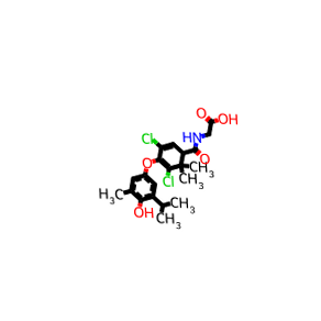 Cc1cc(OC2=C(Cl)C(C)(C)C(C(=O)NCC(=O)O)C=C2Cl)cc(C(C)C)c1O